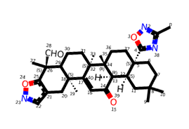 Cc1noc([C@]23CCC(C)(C)C[C@H]2[C@H]2C(=O)C=C4[C@@]5(C)Cc6cnoc6[C@@](C)(C=O)C5CC[C@@]4(C)[C@]2(C)CC3)n1